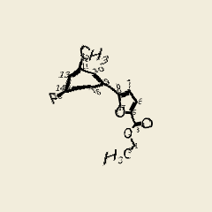 CCOC(=O)c1ccc(-c2cc(C)cc(F)c2)o1